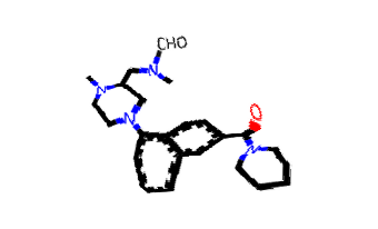 CN(C=O)CC1CN(c2cccc3cc(C(=O)N4CCCCC4)ccc23)CCN1C